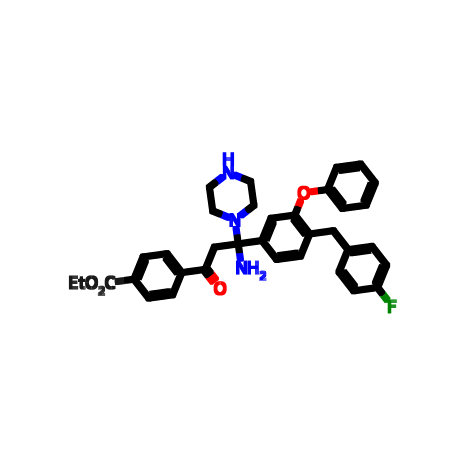 CCOC(=O)c1ccc(C(=O)CC(N)(c2ccc(Cc3ccc(F)cc3)c(Oc3ccccc3)c2)N2CCNCC2)cc1